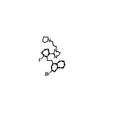 Fc1cccc(C2=NCCN2CCCN2CCCC2)c1CCc1cc(Br)cc2ccccc12